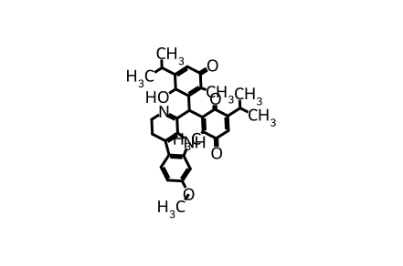 COc1ccc2c3c([nH]c2c1)C(C(C1=C(C)C(=O)C=C(C(C)C)C1=O)C1=C(C)C(=O)C=C(C(C)C)C1O)=NCC3